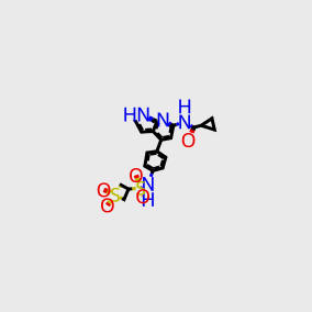 O=C(Nc1cc(-c2ccc(NS(=O)(=O)C3CS(=O)(=O)C3)cc2)c2cc[nH]c2n1)C1CC1